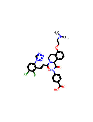 CN(C)CCOc1cccc2c1CCN(C(=O)/C=C/c1c(-n3cnnn3)ccc(Cl)c1F)C2C(=O)Nc1ccc(C(=O)O)cc1